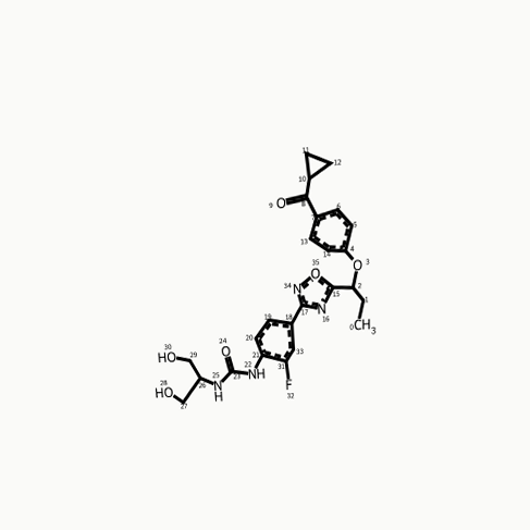 CCC(Oc1ccc(C(=O)C2CC2)cc1)c1nc(-c2ccc(NC(=O)NC(CO)CO)c(F)c2)no1